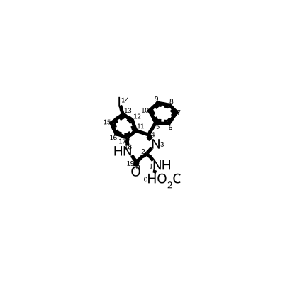 O=C(O)NC1N=C(c2ccccc2)c2cc(I)ccc2NC1=O